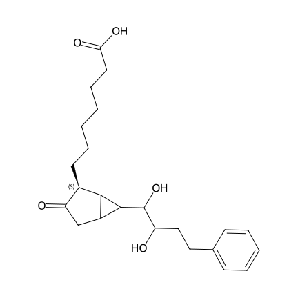 O=C(O)CCCCCC[C@@H]1C(=O)CC2C(C(O)C(O)CCc3ccccc3)C21